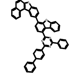 C1=CC(c2ccccc2)CC=C1c1nc(-c2ccccc2)nc(-c2ccc(-c3ccc4sc5ccc6ccccc6c5c4c3)c3oc4ccccc4c23)n1